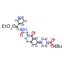 CCOC(=O)[C@H](CNC(=O)CN1CCc2ccc(N3CCN(C(=O)OC(C)(C)C)CC3)cc2C1=O)c1cccnc1